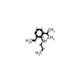 C=Cc1cccc(C(C)C)c1NCCC